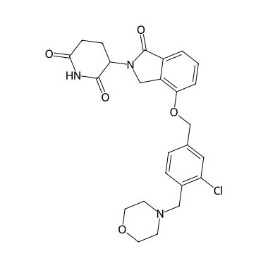 O=C1CCC(N2Cc3c(OCc4ccc(CN5CCOCC5)c(Cl)c4)cccc3C2=O)C(=O)N1